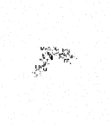 COc1ncc(-c2cc(C(F)(F)F)c3c(N)ncnn23)cc1C(=O)N[C@@H]1CN(C(=O)NC2CCCCC2)C[C@@H]1F